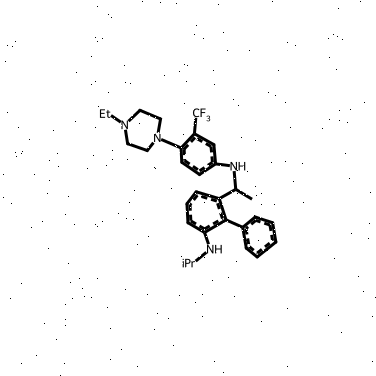 CCN1CCN(c2ccc(NC(C)c3cccc(NC(C)C)c3-c3ccccc3)cc2C(F)(F)F)CC1